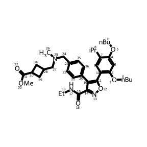 CCCCOc1cc(OCCCC)c(C(C)C)cc1-c1onc(C(=O)NCC)c1-c1ccc(CN(C)CC2CC(C(=O)OC)C2)cc1